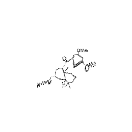 COc1cc(OC)cc(C(=O)[C@H]2[C@@H](C)[C@@H](CN=[N+]=[N-])C[C@H]3C(C)(C)CCC[C@@]23C)c1